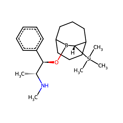 CN[C@H](C)[C@H](OB1C2CCCC(CCC2)[C@@H]1[Si](C)(C)C)c1ccccc1